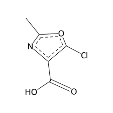 Cc1nc(C(=O)O)c(Cl)o1